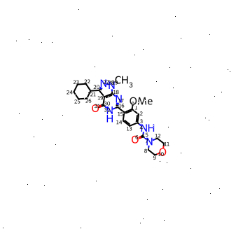 COc1cc(NC(=O)N2CCOCC2)ccc1-c1nc2c(c(C3CCCCC3)nn2C)c(=O)[nH]1